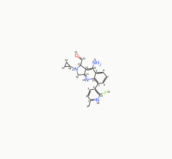 Cc1ccc(-c2cccc3c(N)c4c(nc23)CN(C2CC2)C4C=O)c(F)n1